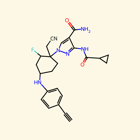 C#Cc1ccc(NC2CCC(CC#N)(n3cc(C(N)=O)c(NC(=O)C4CC4)n3)C(F)C2)cc1